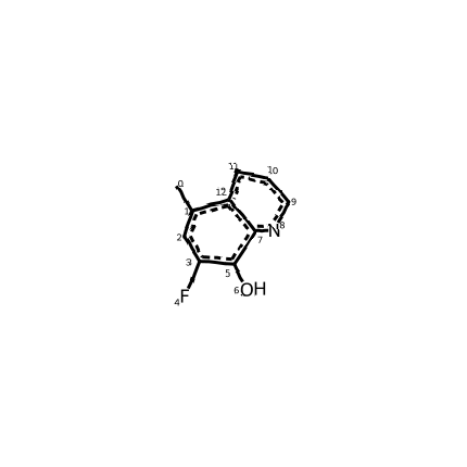 Cc1cc(F)c(O)c2ncccc12